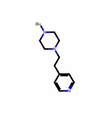 CCC(C)N1CCN(CCc2ccncc2)CC1